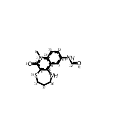 Cn1c(=O)c2c(c3cc(NC=O)ccc31)NCCCS2